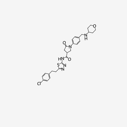 O=C(Nc1nnc(CCc2ccc(Cl)cc2)s1)C1CC(=O)N(c2ccc(CNC3CCOCC3)cc2)C1